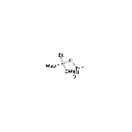 CCC(OC)(OC)O[PH](C)=O